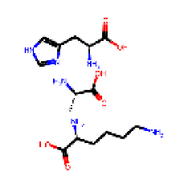 C[C@H](N)C(=O)O.NCCCC[C@H](N)C(=O)O.N[C@@H](Cc1c[nH]cn1)C(=O)O